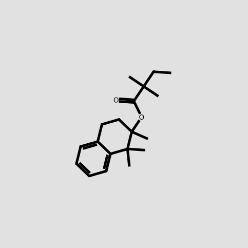 CCC(C)(C)C(=O)OC1(C)CCc2ccccc2C1(C)C